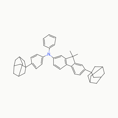 CC1(C)c2cc(N(c3ccccc3)c3ccc(C45CC6CC(CC(C6)C4)C5)cc3)ccc2-c2ccc(C34CC5CC(CC(C5)C3)C4)cc21